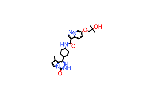 Cc1ccn2c(=O)[nH]nc(C3CCC(NC(=O)c4cnn5cc(OCC(C)(C)O)ccc45)CC3)c12